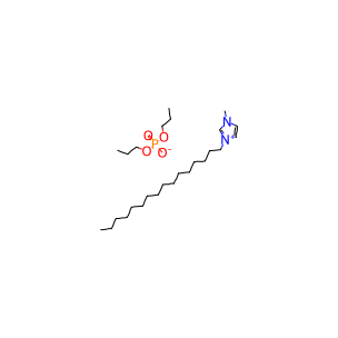 CCCCCCCCCCCCCCCC[n+]1ccn(C)c1.CCCOP(=O)([O-])OCCC